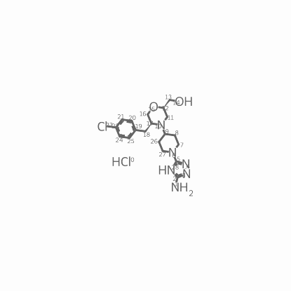 Cl.Nc1nnc(N2CCC(N3C[C@H](CO)OC[C@@H]3Cc3ccc(Cl)cc3)CC2)[nH]1